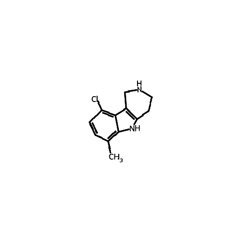 Cc1ccc(Cl)c2c3c([nH]c12)CCNC3